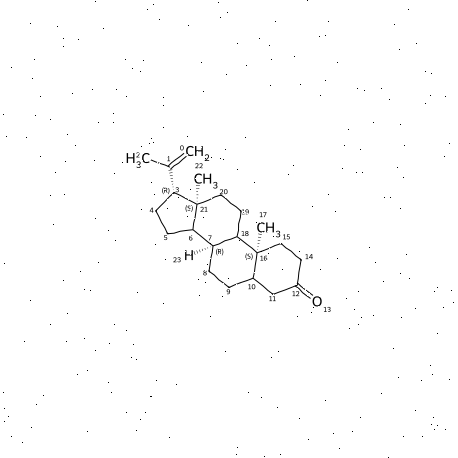 C=C(C)[C@H]1CCC2[C@@H]3CCC4CC(=O)CC[C@]4(C)C3CC[C@@]21C